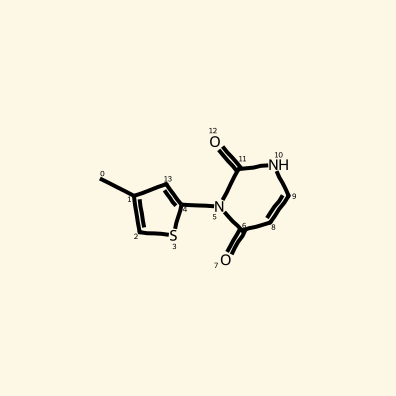 Cc1csc(-n2c(=O)cc[nH]c2=O)c1